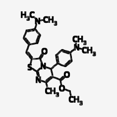 CCOC(=O)C1=C(C)N=c2s/c(=C/c3ccc(N(C)C)cc3)c(=O)n2C1c1ccc(N(C)C)cc1